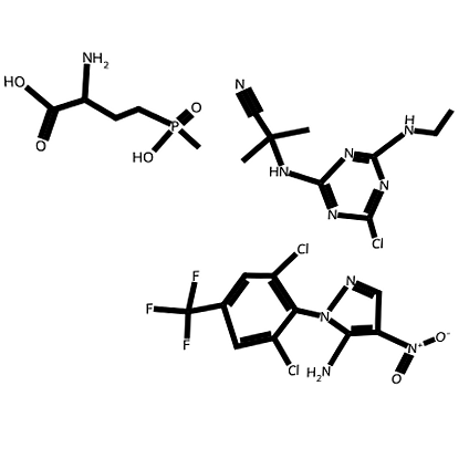 CCNc1nc(Cl)nc(NC(C)(C)C#N)n1.CP(=O)(O)CCC(N)C(=O)O.Nc1c([N+](=O)[O-])cnn1-c1c(Cl)cc(C(F)(F)F)cc1Cl